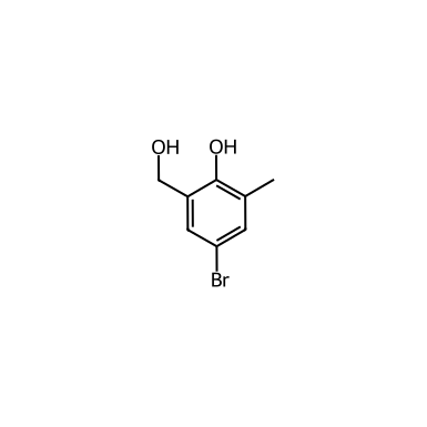 Cc1cc(Br)cc(CO)c1O